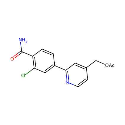 CC(=O)OCc1ccnc(-c2ccc(C(N)=O)c(Cl)c2)c1